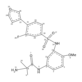 COc1ccc(NC(=O)C(C)(C)N)cc1NS(=O)(=O)c1ccc(-c2ccoc2)c(F)c1